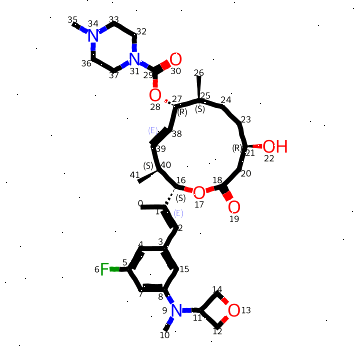 C/C(=C\c1cc(F)cc(N(C)C2COC2)c1)[C@H]1OC(=O)C[C@H](O)CC[C@H](C)[C@@H](OC(=O)N2CCN(C)CC2)/C=C/[C@@H]1C